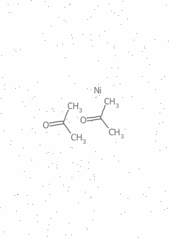 CC(C)=O.CC(C)=O.[Ni]